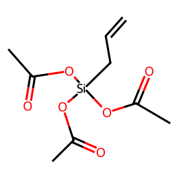 C=CC[Si](OC(C)=O)(OC(C)=O)OC(C)=O